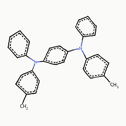 Cc1ccc(N(c2ccccc2)c2ccc(N(c3ccccc3)c3ccc(C)cc3)cc2)cc1